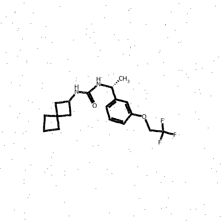 C[C@@H](NC(=O)NC1CC2(CCC2)C1)c1cccc(OCC(F)(F)F)c1